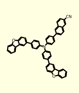 N#Cc1ccc2cc(-c3ccc(N(c4ccc(-c5ccc6oc7ccccc7c6c5)cc4)c4ccc(-c5ccc6oc7ccccc7c6c5)cc4)cc3)ccc2c1